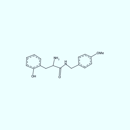 COc1ccc(CNC(=O)C(N)Cc2ccccc2O)cc1